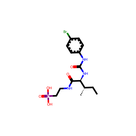 CC[C@H](C)[C@H](NC(=O)Nc1ccc(Br)cc1)C(=O)NCCP(=O)(O)O